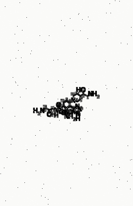 NCC(O)C1CCN(c2ccc(S(=O)(=O)NC[C@H](O)CN)c(S(N)(=O)=O)c2-c2nn[nH]n2)CC1